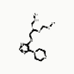 CCOCO[C@@H](CNC(C)(C)C)COc1nsnc1N1CCOCC1